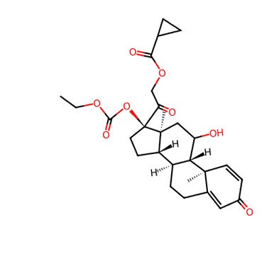 CCOC(=O)O[C@]1(C(=O)COC(=O)C2CC2)CC[C@H]2[C@@H]3CCC4=CC(=O)C=C[C@]4(C)[C@H]3C(O)C[C@@]21C